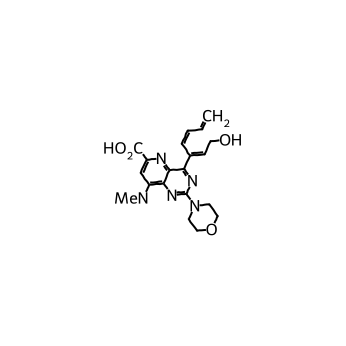 C=C/C=C\C(=C/CO)c1nc(N2CCOCC2)nc2c(NC)cc(C(=O)O)nc12